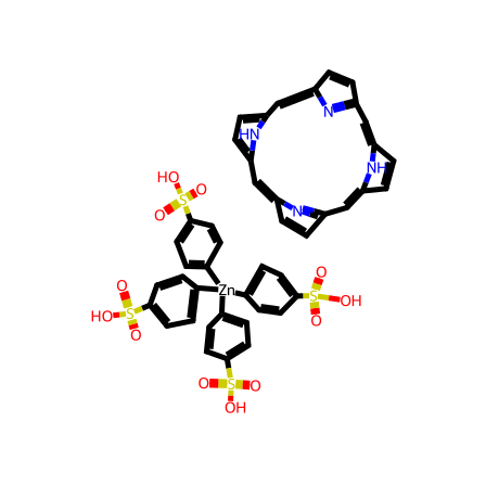 C1=Cc2cc3ccc(cc4nc(cc5ccc(cc1n2)[nH]5)C=C4)[nH]3.O=S(=O)(O)c1cc[c]([Zn]([c]2ccc(S(=O)(=O)O)cc2)([c]2ccc(S(=O)(=O)O)cc2)[c]2ccc(S(=O)(=O)O)cc2)cc1